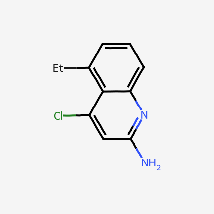 CCc1cccc2nc(N)cc(Cl)c12